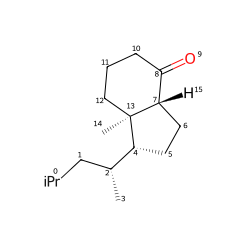 CC(C)C[C@@H](C)[C@H]1CC[C@H]2C(=O)CCC[C@]12C